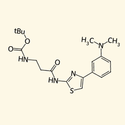 CN(C)c1cccc(-c2csc(NC(=O)CCNC(=O)OC(C)(C)C)n2)c1